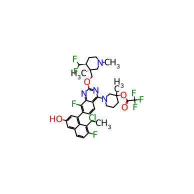 CCc1c(F)ccc2cc(O)cc(-c3c(Cl)cc4c(N5CCCC(C)(OC(=O)C(F)(F)F)C5)nc(OC[C@]5(C)CN(C)CC[C@@H]5C(F)F)nc4c3F)c12